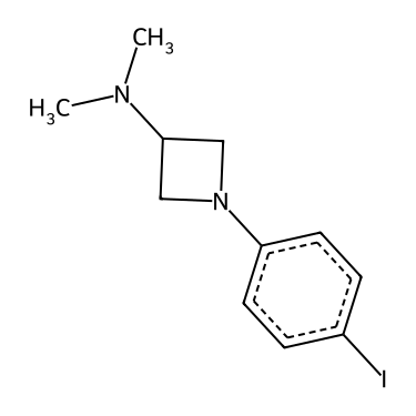 CN(C)C1CN(c2ccc(I)cc2)C1